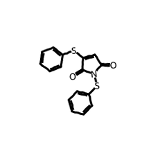 O=C1C=C(Sc2ccccc2)C(=O)N1Sc1ccccc1